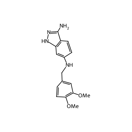 COc1ccc(CNc2ccc3c(N)n[nH]c3c2)cc1OC